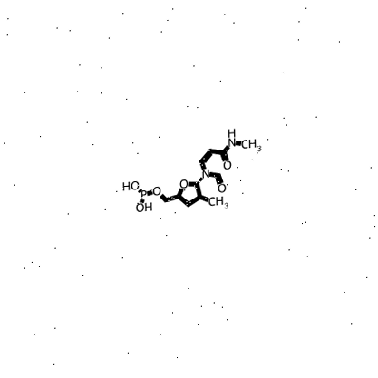 CNC(=O)/C=C\N(C=O)[C@@H]1OC(COP(O)O)CC1C